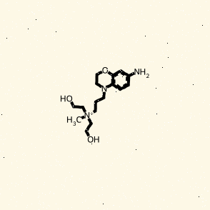 C[N+](CCO)(CCO)CCCN1CCOc2cc(N)ccc21